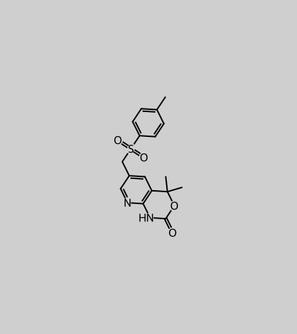 Cc1ccc(S(=O)(=O)Cc2cnc3c(c2)C(C)(C)OC(=O)N3)cc1